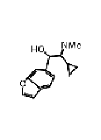 CNC(C1CC1)C(O)c1ccc2ccoc2c1